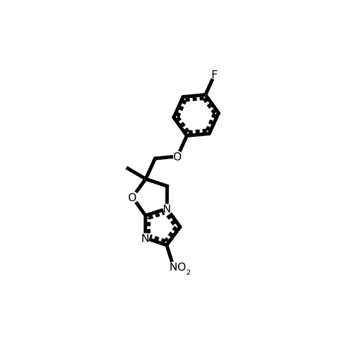 CC1(COc2ccc(F)cc2)Cn2cc([N+](=O)[O-])nc2O1